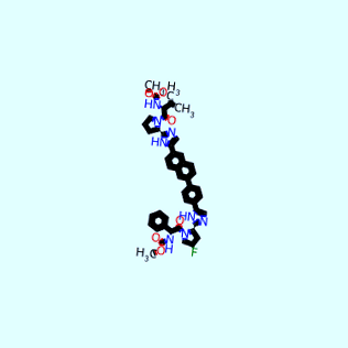 COC(=O)N[C@H](C(=O)N1CCC[C@H]1c1ncc(-c2ccc3cc(-c4ccc(-c5cnc([C@@H]6C[C@@H](F)CN6C(=O)[C@H](NC(=O)OC)c6ccccc6)[nH]5)cc4)ccc3c2)[nH]1)C(C)C